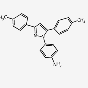 Cc1ccc(-c2cc(-c3ccc(C)cc3)n(-c3ccc(N)cc3)n2)cc1